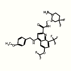 BN1CCC(F)(F)C[C@@H]1CNC(=O)c1cc(NCc2ccc(OC)cc2)c2cc(OC(F)F)cc(C(F)(F)F)c2n1